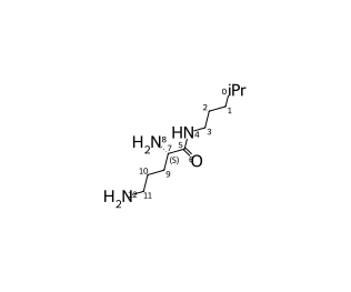 CC(C)CCCNC(=O)[C@@H](N)CCCN